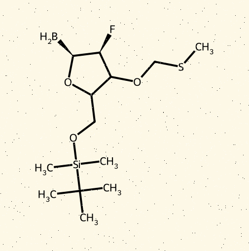 B[C@@H]1OC(CO[Si](C)(C)C(C)(C)C)C(OCSC)[C@@H]1F